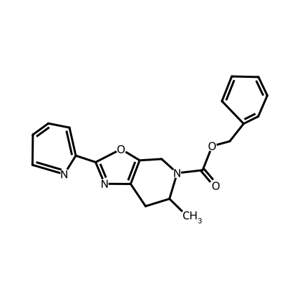 CC1Cc2nc(-c3ccccn3)oc2CN1C(=O)OCc1ccccc1